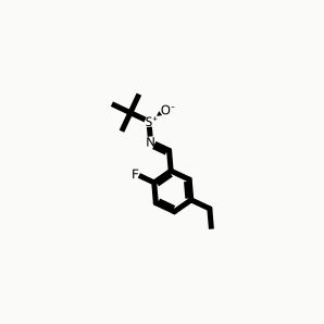 CCc1ccc(F)c(/C=N/[S@+]([O-])C(C)(C)C)c1